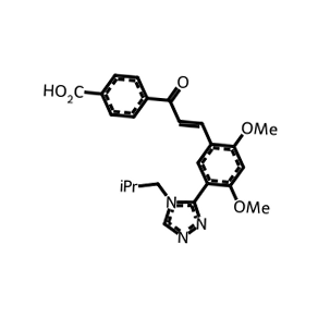 COc1cc(OC)c(-c2nncn2CC(C)C)cc1C=CC(=O)c1ccc(C(=O)O)cc1